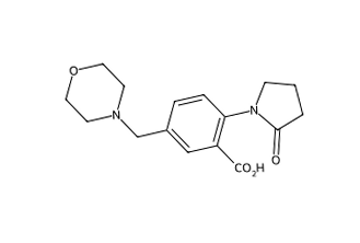 O=C(O)c1cc(CN2CCOCC2)ccc1N1CCCC1=O